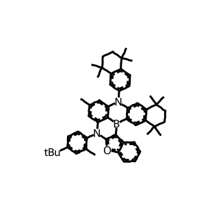 Cc1cc2c3c(c1)N(c1ccc(C(C)(C)C)cc1C)c1oc4ccccc4c1B3c1cc3c(cc1N2c1ccc2c(c1)C(C)(C)CCC2(C)C)C(C)(C)CCC3(C)C